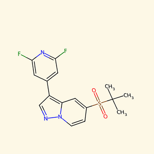 CC(C)(C)S(=O)(=O)c1ccn2ncc(-c3cc(F)nc(F)c3)c2c1